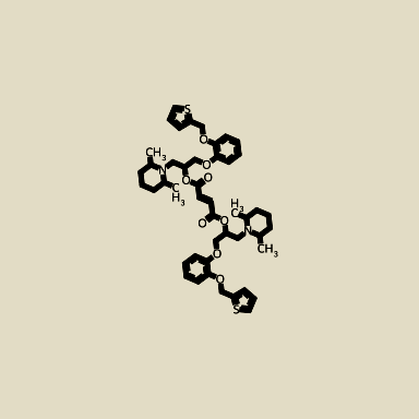 CC1CCCC(C)N1CC(COc1ccccc1OCc1cccs1)OC(=O)/C=C/C(=O)OC(COc1ccccc1OCc1cccs1)CN1C(C)CCCC1C